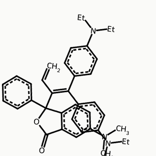 C=CC(=C(c1ccc(N(CC)CC)cc1)c1ccc(N(CC)CC)cc1)C1(c2ccccc2)OC(=O)c2cc(N(C)C)ccc21